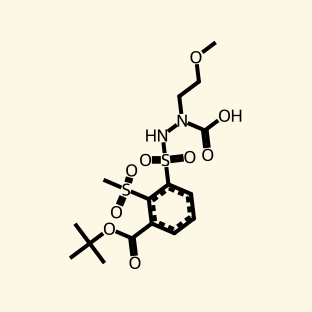 COCCN(NS(=O)(=O)c1cccc(C(=O)OC(C)(C)C)c1S(C)(=O)=O)C(=O)O